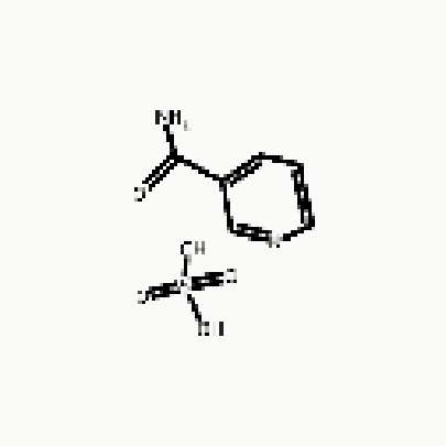 NC(=O)c1cccnc1.O=S(=O)(O)O